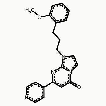 COc1ccccc1CCCn1ccn2c(=O)cc(-c3ccncc3)nc12